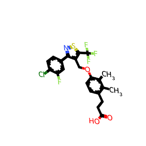 Cc1c(CCC(=O)O)ccc(OCc2c(-c3ccc(Cl)c(F)c3)nsc2C(F)(F)F)c1C